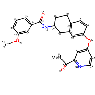 CNC(=O)c1cc(Oc2ccc3c(c2)CC(NC(=O)c2cccc(OC(F)(F)F)c2)CC3)ccn1